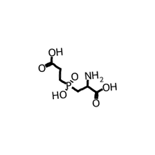 NC(CP(=O)(O)CCC(=O)O)C(=O)O